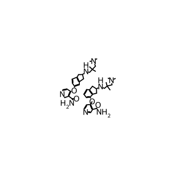 CN(C)CC(C)(C)CNC1Cc2ccc(Oc3ccncc3C(N)=O)cc2C1.CN(C)CC(C)(C)CNC1Cc2cccc(Oc3ccncc3C(N)=O)c2C1